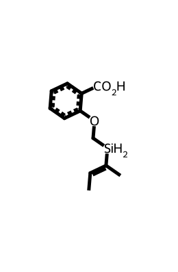 CC=C(C)[SiH2]COc1ccccc1C(=O)O